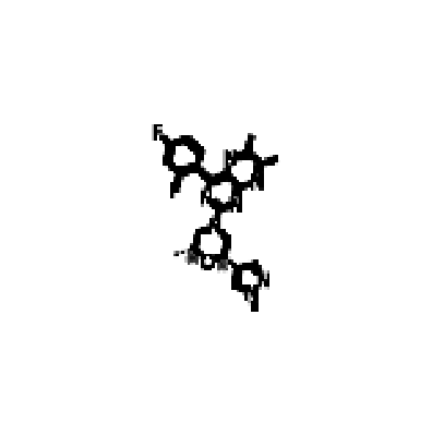 Cc1nc2nc(N3C[C@@H](C)O[C@@H](c4cnn(C)c4)C3)nc(-c3ccc(F)cc3F)c2nc1C